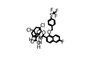 O=C(N[C@@]1(C(=O)O)CC2(Cl)C[C@@H]3C[C@@H]1C[C@@](Cl)(C3)C2)c1ccc2cc(F)ccc2c1OCc1ccc(SC(F)(F)F)cc1